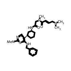 CNc1ncc([C@@H]2CCC[C@H](NC(=O)CN(C)C(=O)/C=C/CN(C)C)C2)c(NCc2ccccc2)n1